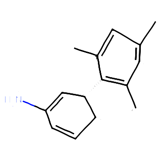 Cc1cc(C)c([C@H]2C=C(N)C=CC2)c(C)c1